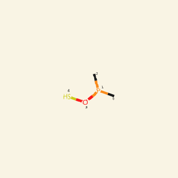 CP(C)OS